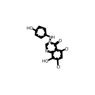 O=c1c2c(Cl)cc(Cl)c(O)c2ncn1Nc1ccc(O)cc1